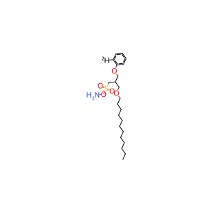 [2H]c1ccccc1OCC(COCCCCCCCCCCCC)CS(=O)(=O)ON